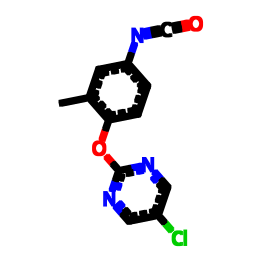 Cc1cc(N=C=O)ccc1Oc1ncc(Cl)cn1